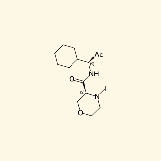 CC(=O)[C@@H](NC(=O)[C@@H]1COCCN1I)C1CCCCC1